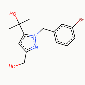 CC(C)(O)c1cc(CO)nn1Cc1cccc(Br)c1